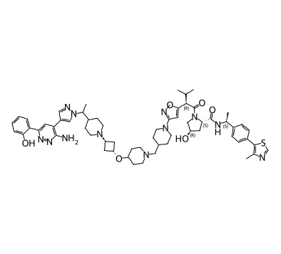 Cc1ncsc1-c1ccc([C@H](C)NC(=O)[C@@H]2C[C@@H](O)CN2C(=O)[C@@H](c2cc(N3CCC(CN4CCC(O[C@H]5C[C@H](N6CCC(C(C)n7cc(-c8cc(-c9ccccc9O)nnc8N)cn7)CC6)C5)CC4)CC3)no2)C(C)C)cc1